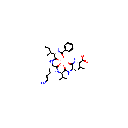 CCC(C)[C@H](NC(=O)c1ccccc1)C(=O)N[C@@H](CCCCN)C(=O)N[C@H](C(=O)N[C@@H](C)C(=O)N[C@H](C(=O)O)C(C)C)C(C)C